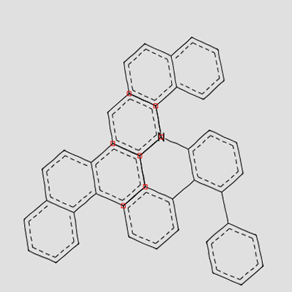 c1ccc(-c2ccccc2-c2c(-c3ccccc3)cccc2N(c2ccc3c(ccc4ccccc43)c2)c2cccc3ccccc23)cc1